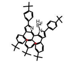 CC(C)(C)c1ccc(C2=CC(c3ccc(C(C)(C)C)cc3)=N/C2=C(/c2ccc(C(C)(C)C)cc2)c2c(-c3ccc(C(C)(C)C)cc3)cc(-c3ccc(C(C)(C)C)cc3)n2BF)cc1